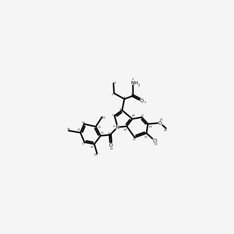 CCC(C(N)=O)c1cn(C(=O)c2c(C)cc(C)cc2C)c2cc(Cl)c(OC)cc12